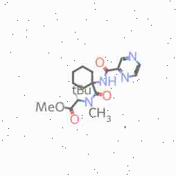 COC(=O)[C@@H](N(C)C(=O)C1(NC(=O)c2cnccn2)CCCCC1)C(C)(C)C